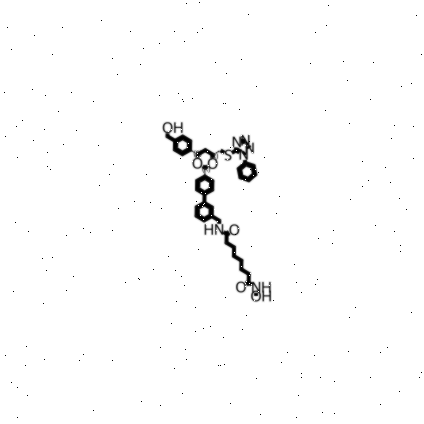 O=C(CCCCCCC(=O)NCc1cccc(-c2ccc([C@H]3O[C@@H](CSc4nnnn4-c4ccccc4)C[C@@H](c4ccc(CO)cc4)O3)cc2)c1)NO